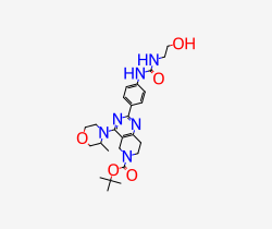 CC1COCCN1c1nc(-c2ccc(NC(=O)NCCO)cc2)nc2c1CN(C(=O)OC(C)(C)C)CC2